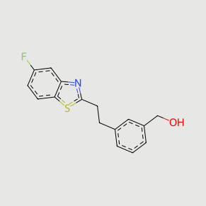 OCc1cccc(CCc2nc3cc(F)ccc3s2)c1